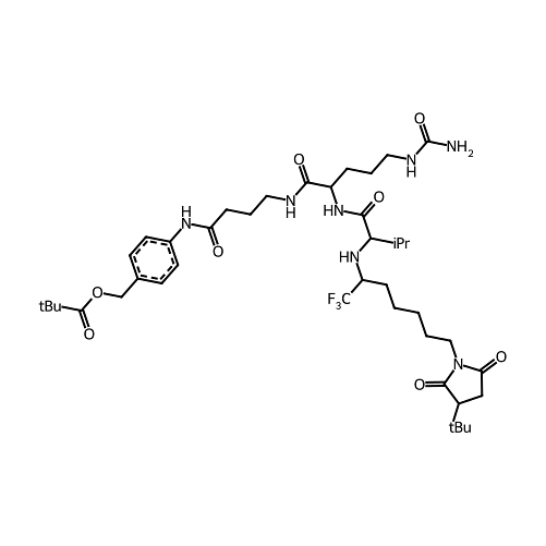 CC(C)C(NC(CCCCCN1C(=O)CC(C(C)(C)C)C1=O)C(F)(F)F)C(=O)NC(CCCNC(N)=O)C(=O)NCCCC(=O)Nc1ccc(COC(=O)C(C)(C)C)cc1